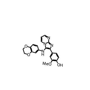 COc1cc(-c2nc3ncccn3c2Nc2ccc3c(c2)OCCO3)ccc1O